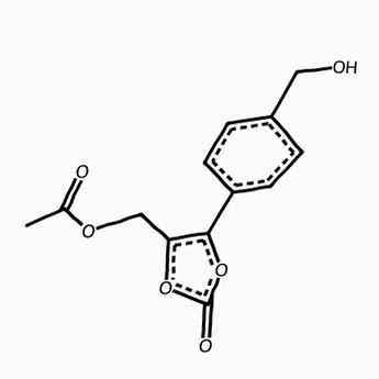 CC(=O)OCc1oc(=O)oc1-c1ccc(CO)cc1